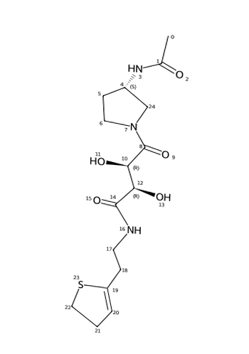 CC(=O)N[C@H]1CCN(C(=O)[C@H](O)[C@@H](O)C(=O)NCCC2=CCCS2)C1